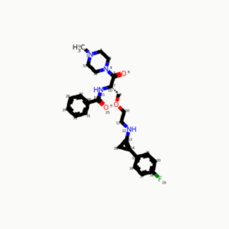 CN1CCN(C(=O)[C@H](COCCNC2=C(c3ccc(F)cc3)C2)NC(=O)c2ccccc2)CC1